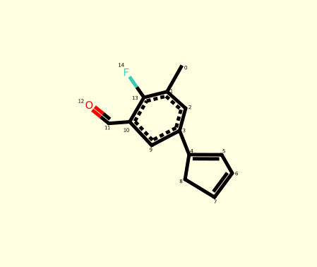 Cc1cc(C2=CC=CC2)cc(C=O)c1F